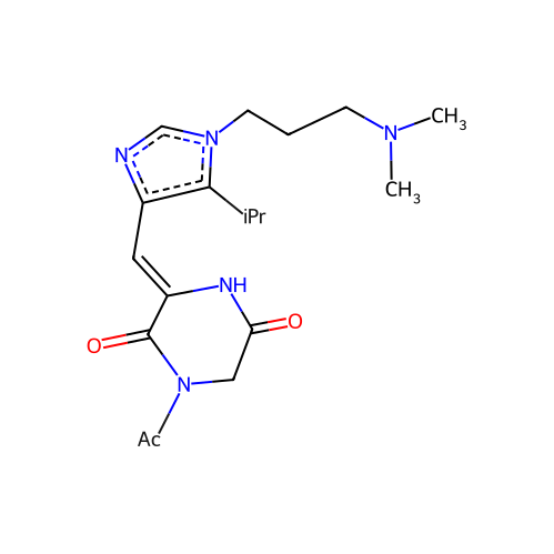 CC(=O)N1CC(=O)NC(=Cc2ncn(CCCN(C)C)c2C(C)C)C1=O